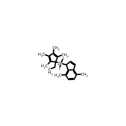 CC[C]1([Zr]([I])([I])[CH]2C=Cc3c(C)ccc(C)c32)C(C)=C(C)C(C)=C1C